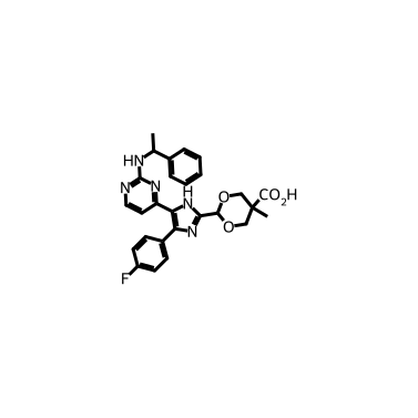 CC(Nc1nccc(-c2[nH]c(C3OCC(C)(C(=O)O)CO3)nc2-c2ccc(F)cc2)n1)c1ccccc1